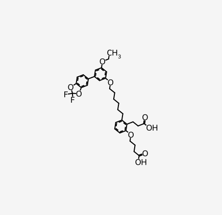 CCOc1cc(OCCCCCCc2cccc(OCCCC(=O)O)c2CCC(=O)O)cc(-c2ccc3c(c2)OC(F)(F)O3)c1